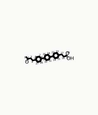 CC(=O)CCc1ccc(-c2ccc(-c3ccc(CCC(=O)O)cc3)cc2)cc1